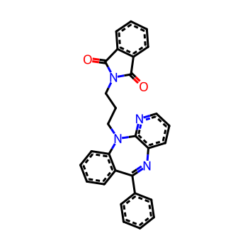 O=C1c2ccccc2C(=O)N1CCCN1c2ccccc2C(c2ccccc2)=Nc2cccnc21